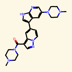 CN1CCN(C(=O)c2cnn3ccc(-c4c[nH]c5ncc(N6CCN(C)CC6)cc45)cc23)CC1